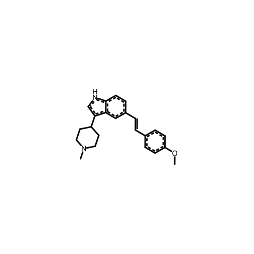 COc1ccc(C=Cc2ccc3[nH]cc(C4CCN(C)CC4)c3c2)cc1